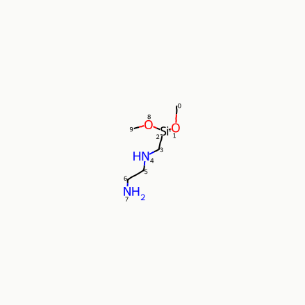 CO[Si](CNCCN)OC